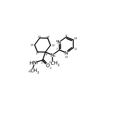 CNC(=O)C1(N(C)c2ncccn2)CCCCC1